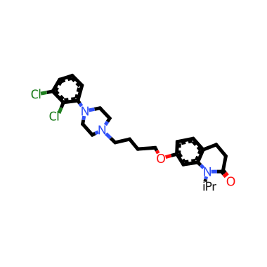 CC(C)N1C(=O)CCc2ccc(OCCCCN3CCN(c4cccc(Cl)c4Cl)CC3)cc21